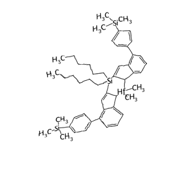 CCCCCC[Si]1(CCCCCC)C2=Cc3c(-c4ccc([Si](C)(C)C)cc4)cccc3[CH]2[Hf]([CH3])([CH3])[CH]2C1=Cc1c(-c3ccc([Si](C)(C)C)cc3)cccc12